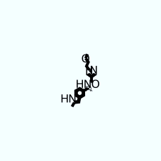 COCCn1cc(C(=O)N[C@H](C)c2ccc3[nH]c(C)cc3c2)cn1